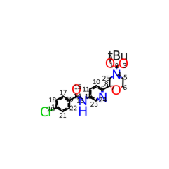 CC(C)(C)OC(=O)N1CCOC(c2ccc(NC(=O)c3ccc(Cl)cc3)cn2)C1